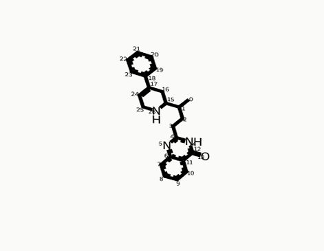 CC(CCc1nc2ccccc2c(=O)[nH]1)C1CC(c2ccccc2)=CCN1